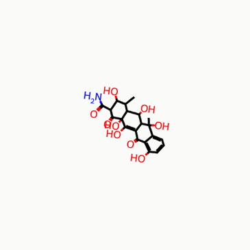 CC1C(O)C(C(N)=O)C(=O)C2(O)C(O)=C3C(=O)c4c(O)cccc4C(C)(O)C3C(O)C12